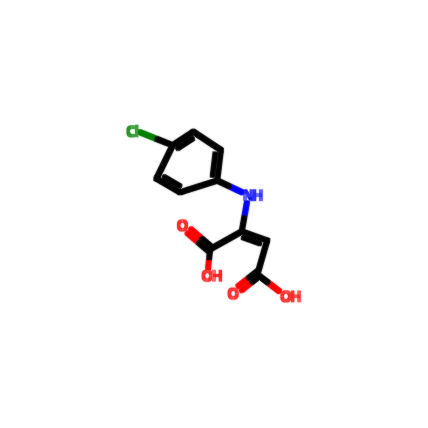 O=C(O)C=C(Nc1ccc(Cl)cc1)C(=O)O